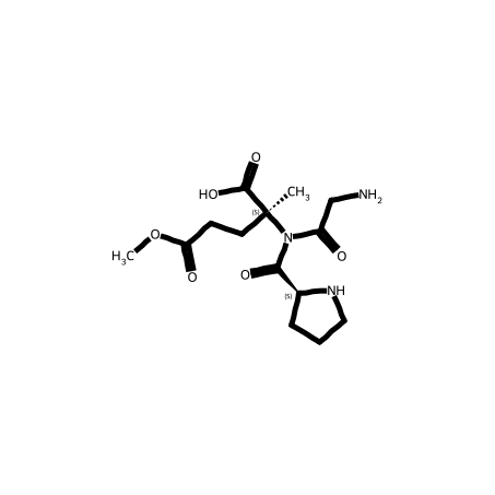 COC(=O)CC[C@@](C)(C(=O)O)N(C(=O)CN)C(=O)[C@@H]1CCCN1